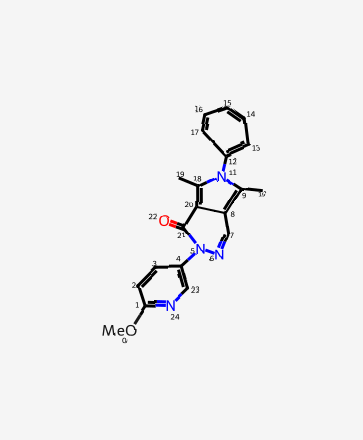 COc1ccc(-n2ncc3c(C)n(-c4ccccc4)c(C)c3c2=O)cn1